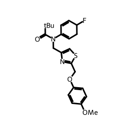 COc1ccc(OCc2nc(CN(C(=O)C(C)(C)C)C3=CCC(F)C=C3)cs2)cc1